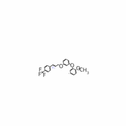 COc1cc[c]cc1Oc1cccc(OC/C=C/c2ccc(C(F)(F)F)cc2)c1